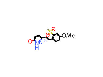 COc1ccc(/C=C/c2ccc(=O)[nH]n2)c(S(C)(=O)=O)c1